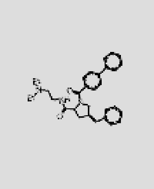 CCN(CC)CCNC(=O)C1CC(=Cc2ccccc2)CN1C(=O)c1ccc(-c2ccccc2)cc1